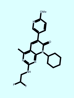 COc1ccc(-c2cc3c(C)nc(NCC(F)F)nc3n(C3CCCCC3)c2=O)cn1